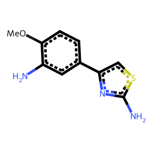 COc1ccc(-c2csc(N)n2)cc1N